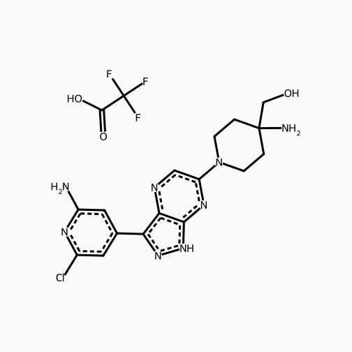 Nc1cc(-c2n[nH]c3nc(N4CCC(N)(CO)CC4)cnc23)cc(Cl)n1.O=C(O)C(F)(F)F